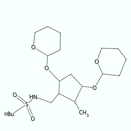 CCCCS(=O)(=O)NCC1[C](C)C(OC2CCCCO2)CC1OC1CCCCO1